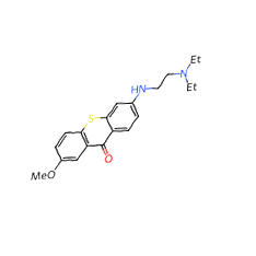 CCN(CC)CCNc1ccc2c(=O)c3cc(OC)ccc3sc2c1